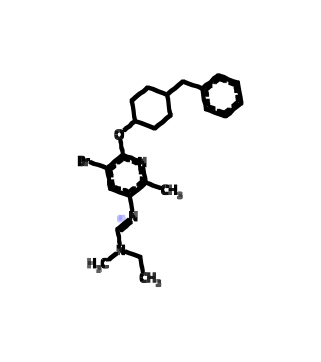 CCN(C)/C=N/c1cc(Br)c(OC2CCC(Cc3ccccc3)CC2)nc1C